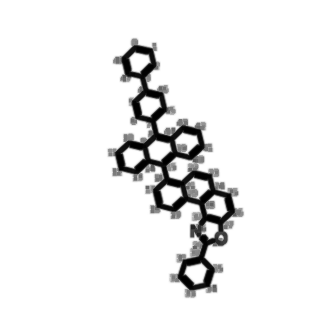 c1ccc(-c2ccc(-c3c4ccccc4c(-c4cccc5c4ccc4ccc6oc(-c7ccccc7)nc6c45)c4ccccc34)cc2)cc1